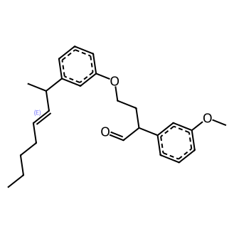 CCCC/C=C/C(C)c1cccc(OCCC(C=O)c2cccc(OC)c2)c1